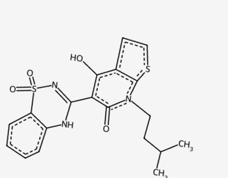 CC(C)CCn1c(=O)c(C2=NS(=O)(=O)c3ccccc3N2)c(O)c2ccsc21